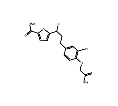 CCC(CCc1ccc(OCC(=O)C(C)(C)C)c(C(C)C)c1)c1ccc(C(=O)OC)s1